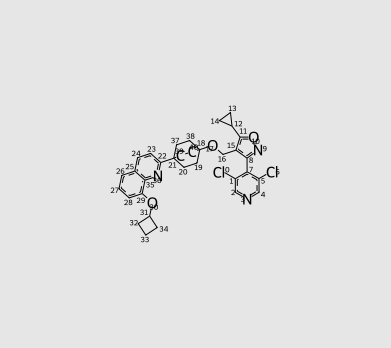 Clc1cncc(Cl)c1-c1noc(C2CC2)c1COC12CCC(c3ccc4cccc(OC5CCC5)c4n3)(CC1)CC2